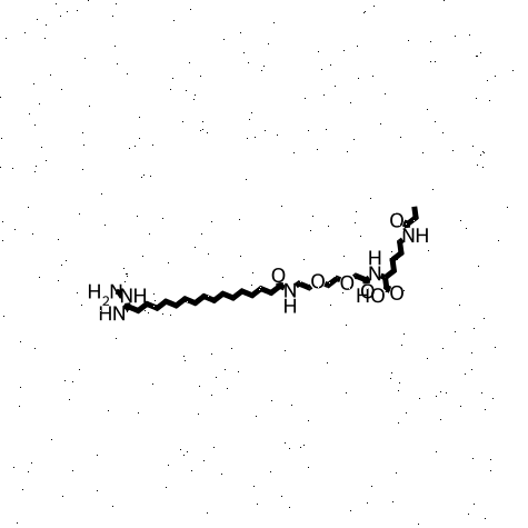 CCC(=O)NCCCCC(NC(=O)COCCOCCNC(=O)CCCCCCCCCCCCCCCC(=N)NN)C(=O)O